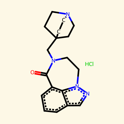 Cl.O=C1c2cccc3cnn(c23)CCN1CC12CCN(CC1)CC2